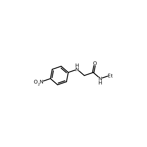 CCNC(=O)CNc1ccc([N+](=O)[O-])cc1